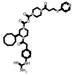 N=C(N)Nc1ccc(CC(=O)N2CCN(C(=O)OC(=O)N3CCN(C(=O)CCSc4ccncc4)CC3)CC2=C2CCCCCCC2)cc1